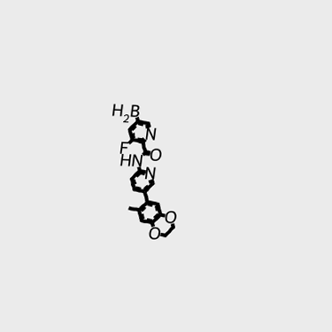 Bc1cnc(C(=O)Nc2ccc(-c3cc4c(cc3C)OCCO4)cn2)c(F)c1